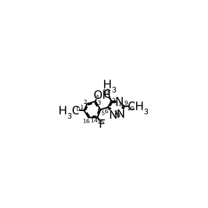 Cc1cc(O)c(-c2nnc(C)nc2C)c(F)c1